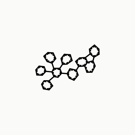 c1ccc(-c2cc(-c3cccc(-c4ccc5c6c(cccc46)-c4ccccc4-5)c3)c(-c3ccccc3)c(-c3ccccc3)c2-c2ccccc2)cc1